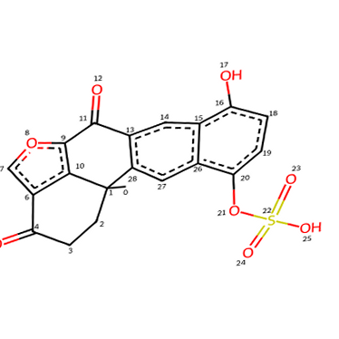 CC12CCC(=O)c3coc(c31)C(=O)c1cc3c(O)ccc(OS(=O)(=O)O)c3cc12